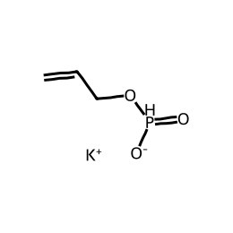 C=CCO[PH](=O)[O-].[K+]